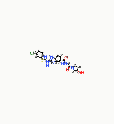 Cn1c(Nc2nc3ccc(Cl)cc3s2)nc2cc(C(=O)NCC(=O)N3CCC(O)C3)ccc21